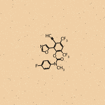 C#Cc1c(C(F)(F)F)cc(C(F)(F)F)c(OC(=O)N(C)c2ccc(F)cc2)c1-c1cnco1